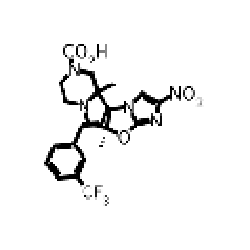 CC1(C/C=C/c2cccc(C(F)(F)F)c2)CN(C(=O)O)CCN1C[C@@]1(C)Cn2cc([N+](=O)[O-])nc2O1